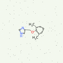 Cc1cccc(C)c1OCc1c[nH]cn1